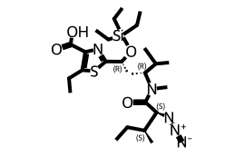 CCc1sc([C@@H](C[C@H](C(C)C)N(C)C(=O)[C@@H](N=[N+]=[N-])[C@@H](C)CC)O[Si](CC)(CC)CC)nc1C(=O)O